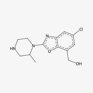 CC1CNCCN1c1nc2cc(Cl)cc(CO)c2o1